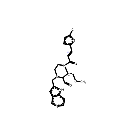 COC[C@@H]1C(C=O)N(Cc2cc3cnccc3[nH]2)CCN1C(=O)/C=C/c1ccc(Cl)s1